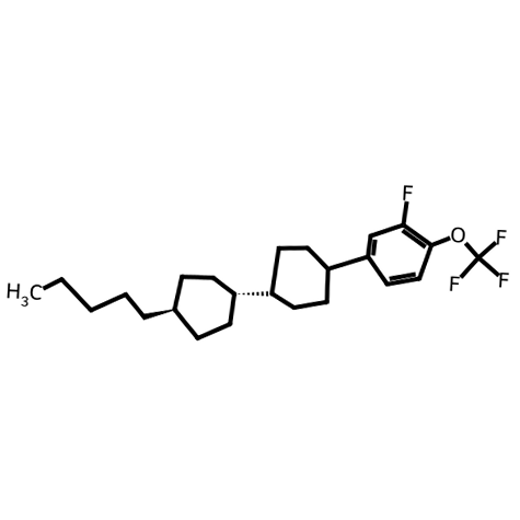 CCCCC[C@H]1CC[C@H](C2CCC(c3ccc(OC(F)(F)F)c(F)c3)CC2)CC1